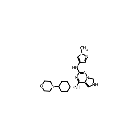 Cn1cc(NC2=NN3CNC=C3C(N[C@H]3CC[C@H](N4CCOCC4)CC3)=N2)cn1